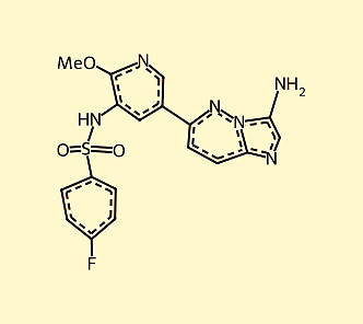 COc1ncc(-c2ccc3ncc(N)n3n2)cc1NS(=O)(=O)c1ccc(F)cc1